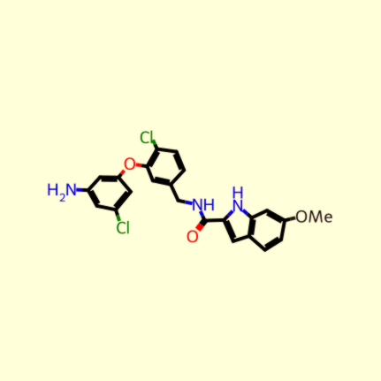 COc1ccc2cc(C(=O)NCc3ccc(Cl)c(Oc4cc(N)cc(Cl)c4)c3)[nH]c2c1